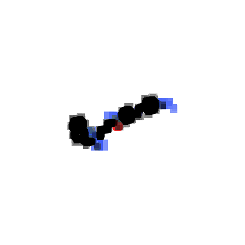 N=c1cc2c(nn1CCCCC(=O)Nc1ccc(/C=C/c3ccc(N)cc3)cc1)-c1ccccc1CC2